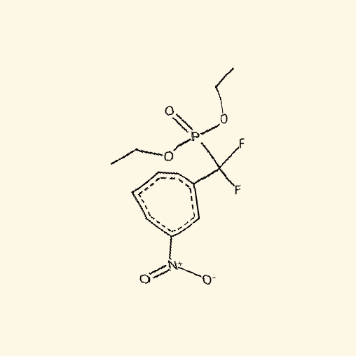 CCOP(=O)(OCC)C(F)(F)c1cccc([N+](=O)[O-])c1